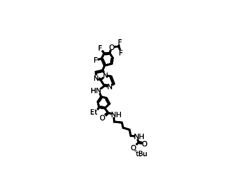 CCc1cc(Nc2nccn3c(-c4ccc(OC(F)F)c(F)c4F)cnc23)ccc1C(=O)NCCCCCNC(=O)OC(C)(C)C